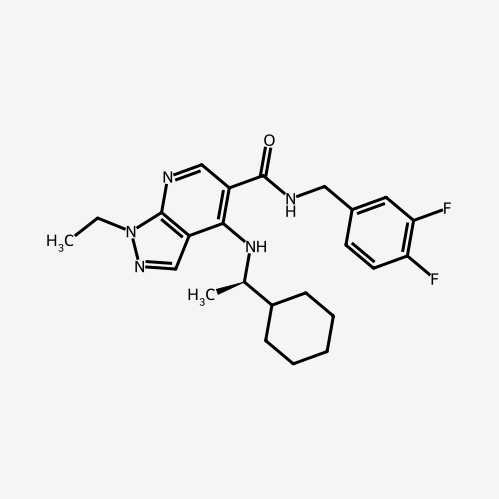 CCn1ncc2c(N[C@H](C)C3CCCCC3)c(C(=O)NCc3ccc(F)c(F)c3)cnc21